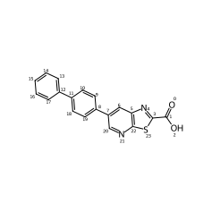 O=C(O)c1nc2cc(-c3ccc(-c4ccccc4)cc3)cnc2s1